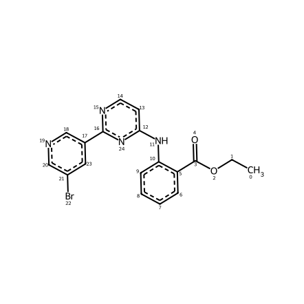 CCOC(=O)c1ccccc1Nc1ccnc(-c2cncc(Br)c2)n1